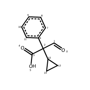 O=CC(C(=O)O)(c1ccccc1)C1CC1